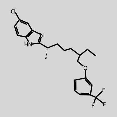 CCC(CCC[C@H](C)c1nc2cc(Cl)ccc2[nH]1)COc1cccc(C(F)(F)F)c1